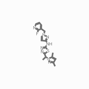 Cc1cc(C)n(C(C)c2nnc(Nc3ccn(Cc4cccnc4F)n3)s2)n1